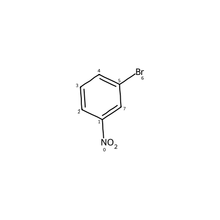 O=[N+]([O-])c1[c]ccc(Br)c1